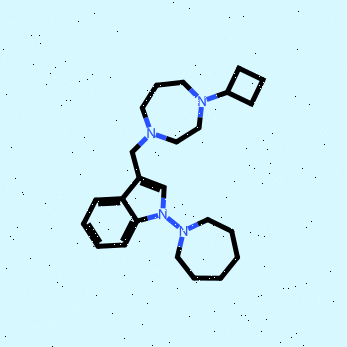 [c]1ccc2c(CN3CCCN(C4CCC4)CC3)cn(N3CCCCCC3)c2c1